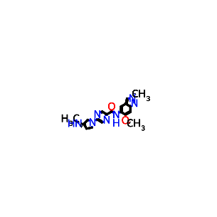 CN[C@@H]1CCN(c2cnc(C(=O)Nc3cc4cn(C)nc4cc3OC)cn2)C1